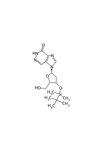 CC(C)(C)[Si](C)(C)OC1C[C@H](n2cnc3c(=O)[nH]ncc32)OC1CO